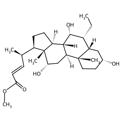 CC[C@H]1[C@@H](O)[C@@H]2[C@H](C[C@H](O)[C@]3(C)[C@@H]([C@H](C)/C=C/C(=O)OC)CC[C@@H]23)[C@@]2(C)CC[C@@H](O)C[C@@H]12